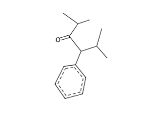 CC(C)C(=O)C(c1ccccc1)C(C)C